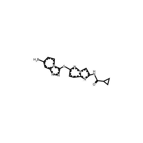 Bc1ccn2c(Sc3ccc4nc(NC(=O)C5CC5)cn4n3)nnc2c1